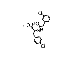 O=C(O)CC(Cc1ccc(Cl)cc1)NC(=O)Cc1cccc(Cl)c1